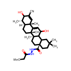 COCC(=O)NNC(=O)[C@]12CCC(C)(C)CC1C1C(O)C=C3[C@@]4(C)C=C(C#N)C(O)[C@@H](C)[C@@H]4CC[C@@]3(C)[C@]1(C)CC2